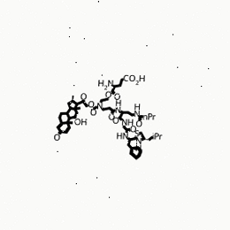 CCCC(=O)NCCC(NC(=O)CCN(CCOC(=O)[C@@H](N)CCC(=O)O)C(=O)OCC(=O)C1[C@H](C)CC2C3CCC4=CC(=O)C=CC4(C)C3C(O)CC21C)C(=O)NCC(=O)NC(Cc1ccccc1)C1=S=C[C@H](CC(C)C)N1